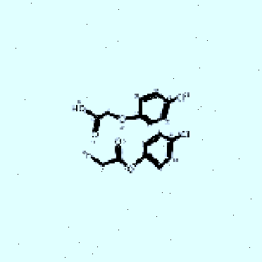 O=C(CF)Oc1ccc(Cl)cc1.O=C(O)COc1ccc(Cl)cc1